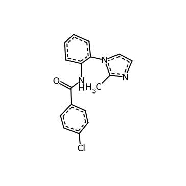 Cc1nccn1-c1ccccc1NC(=O)c1ccc(Cl)cc1